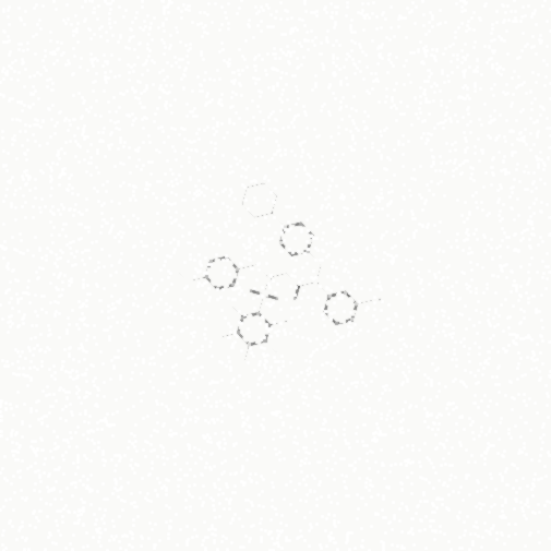 O=C(O)c1ccc(N(Cc2ccc(C3CCCCC3)cc2)C(=O)CN(Cc2ccc(SC(F)(F)F)cc2)S(=O)(=O)c2c(F)c(F)c(F)c(F)c2F)cc1O